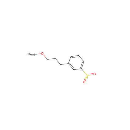 C[CH]CCCOCCCc1cccc([SH](=O)=O)c1